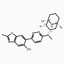 Cc1nc2cc(O)c(-c3ccc(N(C)[C@H]4C[C@@H]5CCC[C@@H](N5)[C@H]4F)nn3)cc2o1